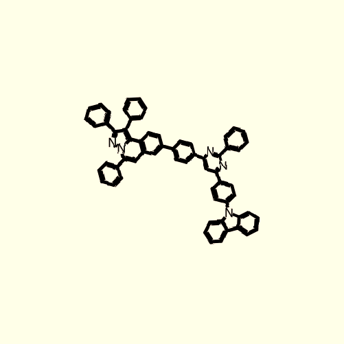 c1ccc(-c2nc(-c3ccc(-c4ccc5c(c4)cc(-c4ccccc4)n4nc(-c6ccccc6)c(-c6ccccc6)c54)cc3)cc(-c3ccc(-n4c5ccccc5c5ccccc54)cc3)n2)cc1